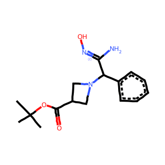 CC(C)(C)OC(=O)C1CN(C(/C(N)=N/O)c2ccccc2)C1